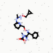 CC(=Nc1cccc(CON=C(c2ccccc2)c2noc(=O)n2C)n1)NOCC1CC1